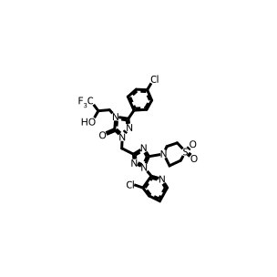 O=c1n(Cc2nc(N3CCS(=O)(=O)CC3)n(-c3ncccc3Cl)n2)nc(-c2ccc(Cl)cc2)n1CC(O)C(F)(F)F